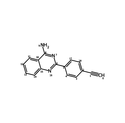 C#Cc1ccc(-c2nc(N)c3ccccc3n2)cc1